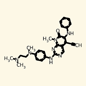 C#Cc1c(Nc2ccccc2)c(=O)n(C)c2nc(Nc3ccc(N(C)CCN(C)C)cc3)ncc12